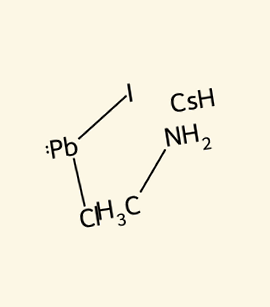 CN.[Cl][Pb][I].[CsH]